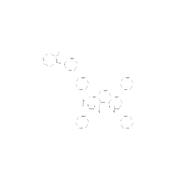 c1ccc(-c2cc(-c3ccccc3)c3ccc4c(-c5ccc(-c6ccc7oc8ccccc8c7c6)cc5)nc(-c5ccccc5)nc4c3n2)cc1